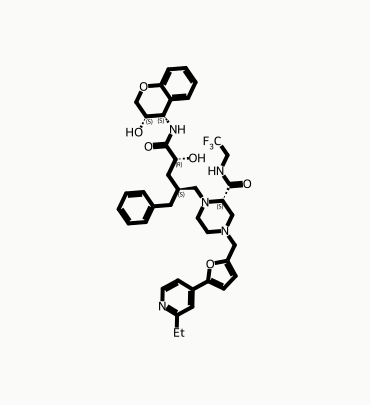 CCc1cc(-c2ccc(CN3CCN(C[C@@H](Cc4ccccc4)C[C@@H](O)C(=O)N[C@H]4c5ccccc5OC[C@H]4O)[C@H](C(=O)NCC(F)(F)F)C3)o2)ccn1